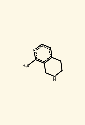 Bc1nccc2c1CNCC2